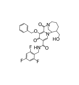 O=C(NCc1c(F)cc(F)cc1F)c1cn2c(c(OCc3ccccc3)c1=O)C(=O)N1CCCC(CO)C2C1